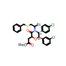 CCC(CSCc1ccccc1)N1C(=O)C(CC(=O)OC)O[C@H](c2cccc(Cl)c2)[C@H]1c1ccc(Cl)cc1